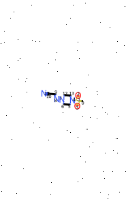 CS(=O)(=O)N1CCN(N=CC#N)CC1